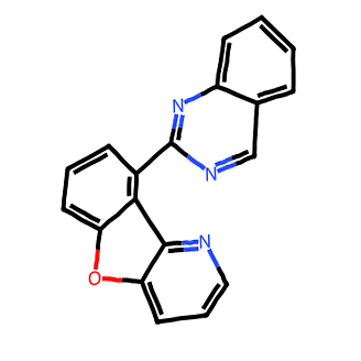 c1ccc2nc(-c3cccc4oc5cccnc5c34)ncc2c1